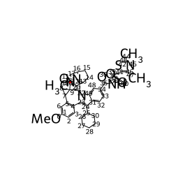 COc1ccc2c(c1)C1CC1(C(=O)N1C3CCC1CN(C)C3)Cn1c-2c(C2CCCCC2)c2ccc(C(=O)NS(=O)(=O)c3sc(C)nc3C)cc21